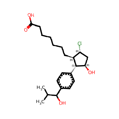 CC(C)C(O)c1ccc([C@@H]2[C@@H](CCCCCCC(=O)O)[C@H](Cl)C[C@H]2O)cc1